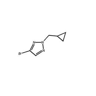 Brc1cnn(CC2CC2)n1